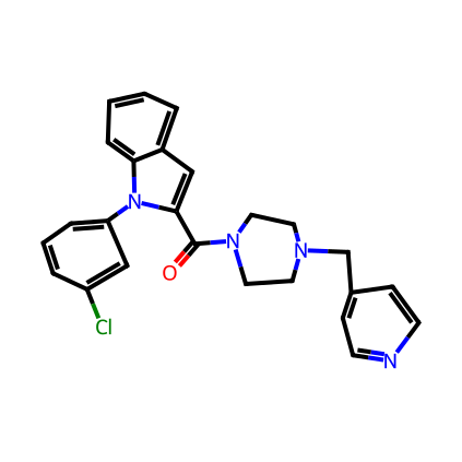 O=C(c1cc2ccccc2n1-c1cccc(Cl)c1)N1CCN(Cc2ccncc2)CC1